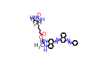 CC1(CCOC(=O)CCCC[C@H]2SC[C@H]3NC(=O)N[C@H]32)Nc2cccc3c(N=Nc4ccc(/N=N/c5ccccc5)c5ccccc45)ccc(c23)N1